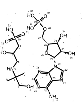 CC(C)(CO)NCC(O)CS(=O)(=O)O.Nc1ncnc2c1ncn2[C@@H]1O[C@H](COP(=O)(O)O)[C@@H](O)[C@H]1O